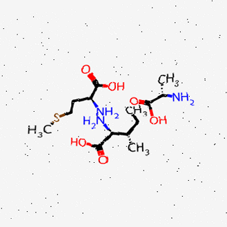 CC[C@H](C)[C@H](N)C(=O)O.CSCC[C@H](N)C(=O)O.C[C@H](N)C(=O)O